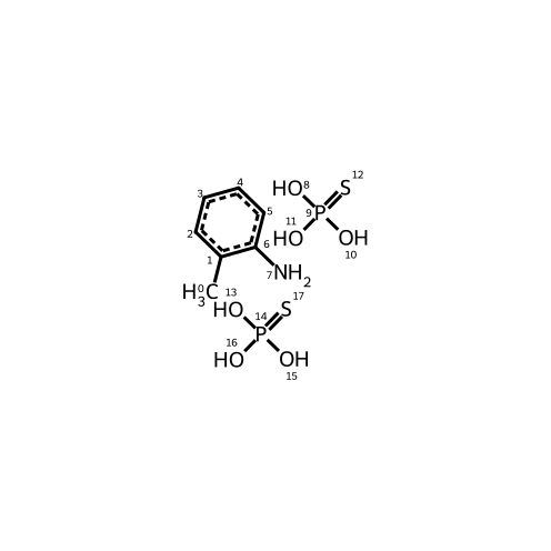 Cc1ccccc1N.OP(O)(O)=S.OP(O)(O)=S